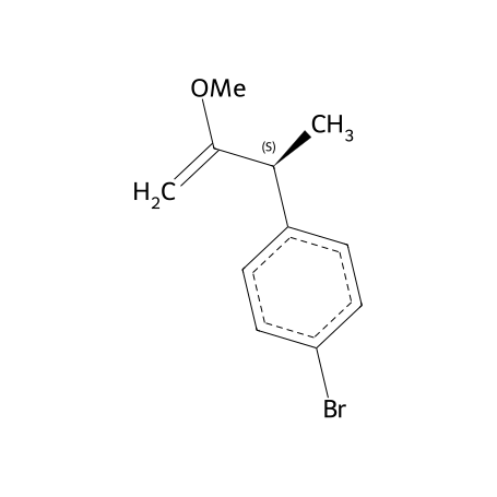 C=C(OC)[C@@H](C)c1ccc(Br)cc1